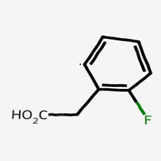 O=C(O)Cc1[c]cccc1F